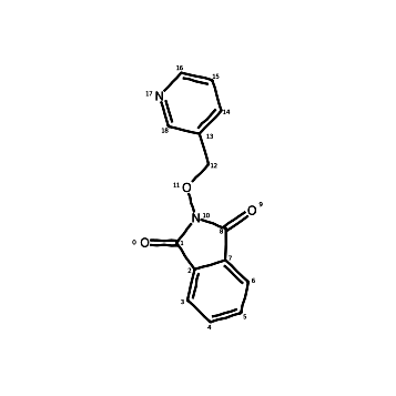 O=C1c2ccccc2C(=O)N1OCc1cccnc1